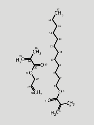 C=C(C)C(=O)OCCCCCCCCCCCC.C=CCOC(=O)C(=C)C